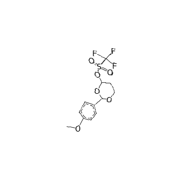 COc1ccc(C2OCCC(OS(=O)(=O)C(F)(F)F)O2)cc1